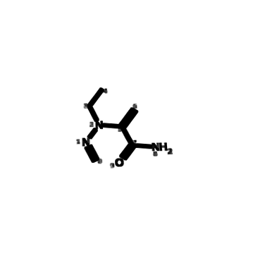 C=NN(CC)C(=C)C(N)=O